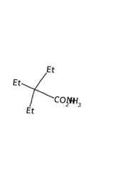 CCC(CC)(CC)C(=O)O.N